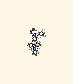 Cc1cc(C)cc(-n2c3ccccc3c3ccc(-c4cccc5c4c4ccccc4n5-c4ccccc4)cc32)c1